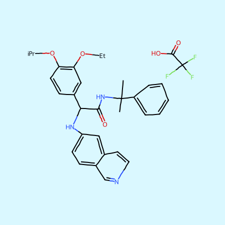 CCOc1cc(C(Nc2ccc3cnccc3c2)C(=O)NC(C)(C)c2ccccc2)ccc1OC(C)C.O=C(O)C(F)(F)F